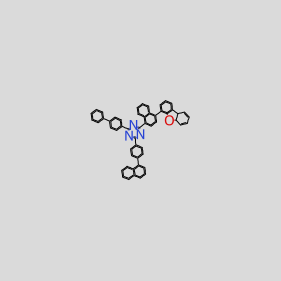 C1=CC2Oc3c(-c4ccc(-c5nc(-c6ccc(-c7ccccc7)cc6)nc(-c6ccc(-c7cccc8ccccc78)cc6)n5)c5ccccc45)cccc3C2C=C1